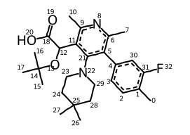 Cc1ccc(-c2c(C)nc(C)c(C(OC(C)(C)C)C(=O)O)c2N2CCC(C)(C)CC2)cc1F